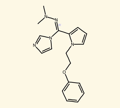 CN(C)/N=C(/c1cccn1CCOc1ccccc1)n1ccnc1